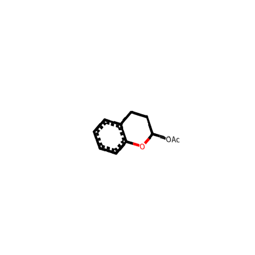 CC(=O)OC1CCc2ccccc2O1